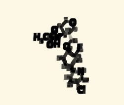 CS(=O)(=O)N[C@H]1CCOC[C@@H]1COc1ccc(-c2ccc(Cl)cn2)cc1F